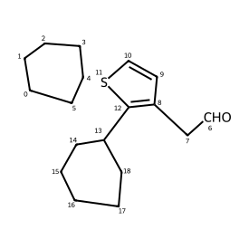 C1CCCCC1.O=CCc1ccsc1C1CCCCC1